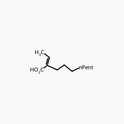 CC=C(CCCCCCCC)C(=O)O